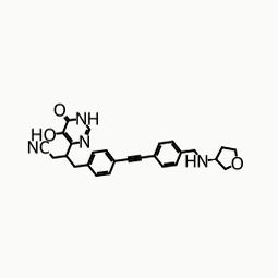 N#CCC(Cc1ccc(C#Cc2ccc(CN[C@H]3CCOC3)cc2)cc1)c1nc[nH]c(=O)c1O